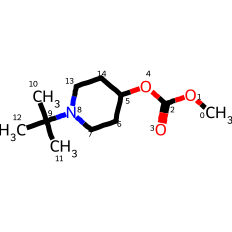 COC(=O)OC1CCN(C(C)(C)C)CC1